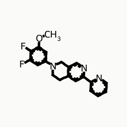 COc1cc(N2CCc3cc(-c4ccccn4)ncc3C2)cc(F)c1F